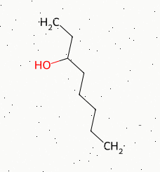 [CH2]CCCCC(O)C[CH2]